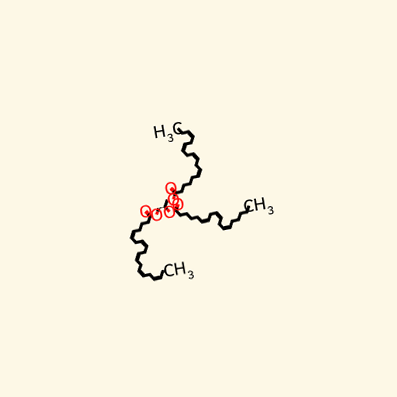 CC/C=C\C/C=C\C/C=C\C/C=C\C/C=C\CCCC(=O)OC[C@H](COC(=O)CCCC/C=C\C/C=C\C/C=C\C/C=C\CC)OC(=O)CCCC/C=C\C/C=C\C/C=C\CCCCC